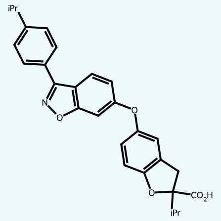 CC(C)c1ccc(-c2noc3cc(Oc4ccc5c(c4)CC(C(=O)O)(C(C)C)O5)ccc23)cc1